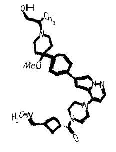 CN=C[C@H]1C[C@H](C(=O)N2CCN(c3ccnn4cc(-c5ccc(C6(OC)CCN([C@H](C)CO)CC6)cc5)cc34)CC2)C1